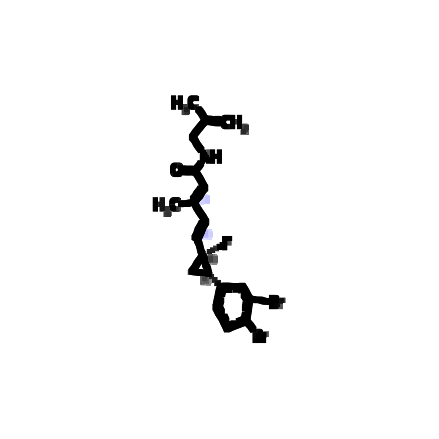 C=C(C)CNC(=O)/C=C(C)/C=C/[C@]1(F)C[C@H]1c1ccc(Br)c(Br)c1